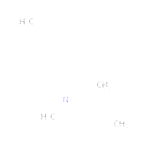 C=C(CC)N(C)C1C=CC(C)=CC1